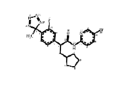 CC1(c2ccc(C(CC3CCCC3)C(=O)Nc3ccc(Br)cn3)cc2F)N=NN=N1